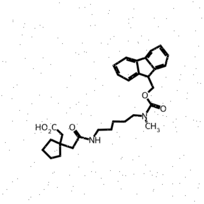 CN(CCCCCNC(=O)CC1(CC(=O)O)CCCC1)C(=O)OCC1c2ccccc2-c2ccccc21